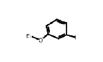 [CH2]COc1cccc(I)c1